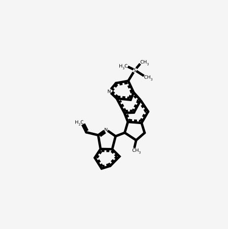 C=CC1=NC(C2c3c(cc4cc3c3cc4c(S(C)(C)C)cn3)CC2C)c2ccccc21